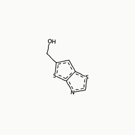 OCc1cc2scnc2s1